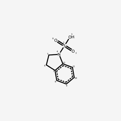 O=S(=O)(O)N1CCc2ccccc21